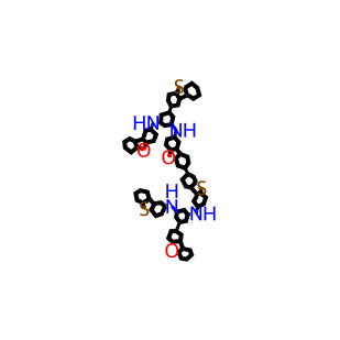 c1ccc2c(c1)oc1ccc(Nc3cc(Nc4ccc5oc6cc(-c7ccc8c(c7)sc7ccc(Nc9cc(Nc%10ccc%11sc%12ccccc%12c%11c%10)cc(-c%10ccc%11oc%12ccccc%12c%11c%10)c9)cc78)ccc6c5c4)cc(-c4ccc5sc6ccccc6c5c4)c3)cc12